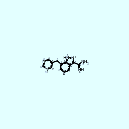 N=C(N)c1n[nH]c2c(Cc3cncnc3)cccc12